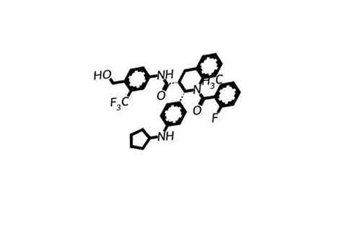 Cc1cccc(F)c1C(=O)N1c2ccccc2C[C@@H](C(=O)Nc2ccc(CO)c(C(F)(F)F)c2)[C@H]1c1ccc(NC2CCCC2)cc1